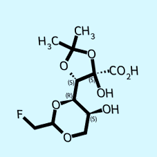 CC1(C)O[C@@H]([C@@H]2OC(CF)OC[C@@H]2O)[C@@](O)(C(=O)O)O1